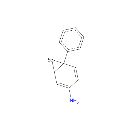 NC1=CC2[Se]C2(c2ccccc2)C=C1